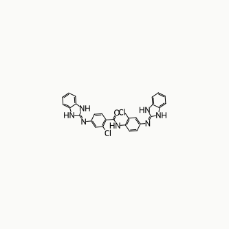 O=C(Nc1ccc(N=c2[nH]c3ccccc3[nH]2)cc1Cl)c1ccc(N=c2[nH]c3ccccc3[nH]2)cc1Cl